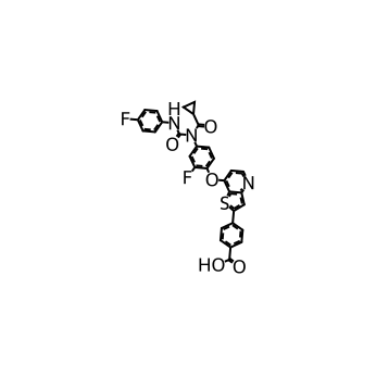 O=C(O)c1ccc(-c2cc3nccc(Oc4ccc(N(C(=O)Nc5ccc(F)cc5)C(=O)C5CC5)cc4F)c3s2)cc1